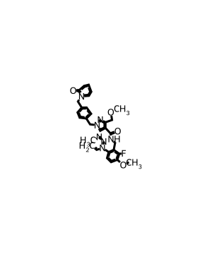 C=CN(/N=N\C)c1ccc(OC)c(F)c1CNC(=O)c1cn(Cc2ccc(Cn3ccccc3=O)cc2)nc1COC